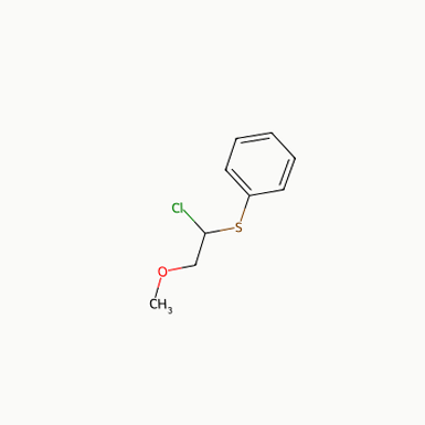 COCC(Cl)Sc1ccccc1